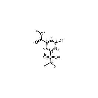 COC(=O)c1cc(Cl)nc(S(=O)(=O)C(C)C)c1